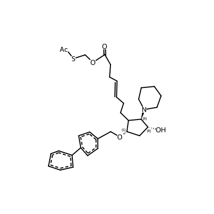 CC(=O)SCOC(=O)CCC=CCCC1[C@@H](OCc2ccc(-c3ccccc3)cc2)C[C@@H](O)[C@@H]1N1CCCCC1